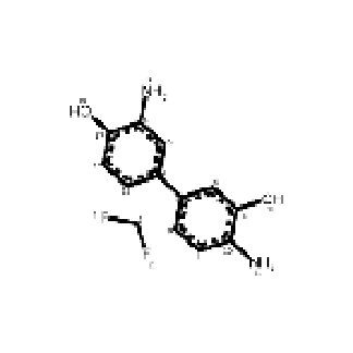 FCF.Nc1cc(-c2ccc(N)c(O)c2)ccc1O